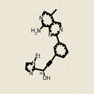 CCn1ccnc1[C@H](O)C#Cc1cccc(-c2ncc3c(C)cnc(N)c3n2)c1